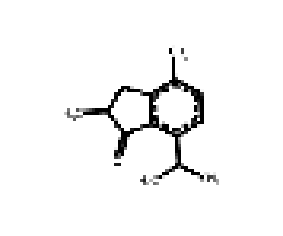 Cc1ccc(C(C)C)c2c1CC(C)C2=O